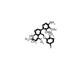 COc1c(-c2ccc3c(c2COc2cc(F)ccc2C)C(C)=CC(C)(C)N3)ccc(N)c1OC(C)=O